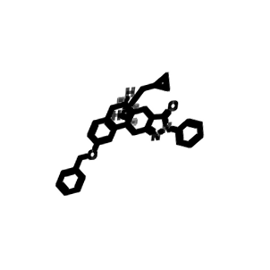 O=C1C2C[C@@]3(O)[C@H]4Cc5ccc(OCc6ccccc6)cc5[C@@]3(CCN4CC3CC3)CC2=NN1c1ccccc1